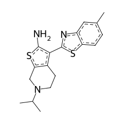 Cc1ccc2sc(-c3c(N)sc4c3CCN(C(C)C)C4)nc2c1